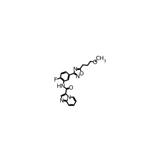 COCCCc1nc(-c2ccc(F)c(NC(=O)c3cnc4ccccn34)c2)no1